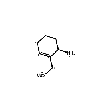 CSCC1=CCCCC1N